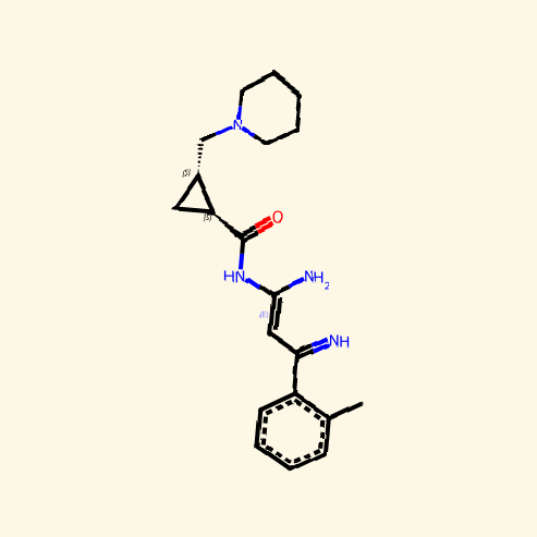 Cc1ccccc1C(=N)/C=C(\N)NC(=O)[C@H]1C[C@@H]1CN1CCCCC1